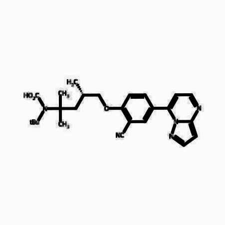 C[C@H](COc1ccc(-c2ccnc3ccnn23)cc1C#N)CC(C)(C)N(C(=O)O)C(C)(C)C